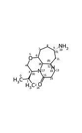 CC(C)[C@H]1COC2CC[C@H](N)C[C@H]3CCC(=O)N1C23